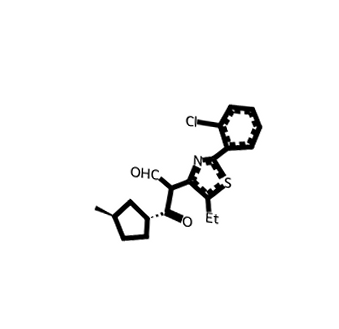 CCc1sc(-c2ccccc2Cl)nc1C(C=O)C(=O)[C@@H]1CC[C@@H](C)C1